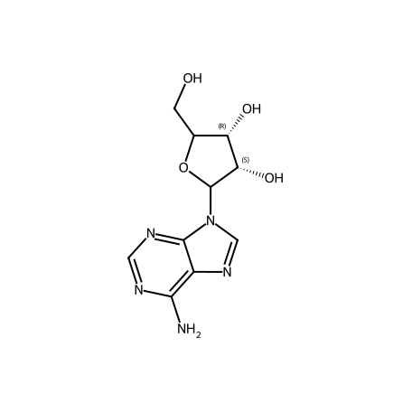 Nc1ncnc2c1ncn2C1OC(CO)[C@H](O)[C@@H]1O